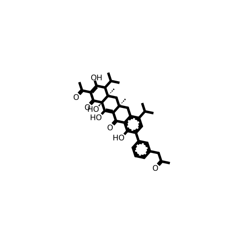 CC(=O)Cc1cccc(-c2cc(C(C)C)c3c(c2O)C(=O)C2=C(O)[C@@]4(O)C(=O)C(C(C)=O)=C(O)C(C(C)C)[C@@]4(C)C[C@@]2(C)C3)c1